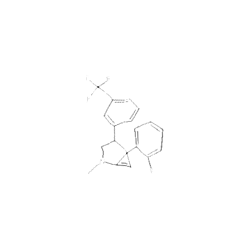 CN1CC(c2cccc(C(F)(F)F)c2)C2(c3ccccc3F)C=C12